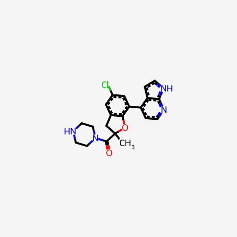 CC1(C(=O)N2CCNCC2)Cc2cc(Cl)cc(-c3ccnc4[nH]ccc34)c2O1